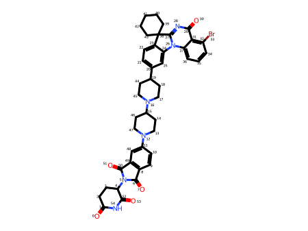 O=C1CCC(N2C(=O)c3ccc(N4CCC(N5CCC(c6ccc7c(c6)-n6c(nc(=O)c8c(Br)cccc86)C76CCCCC6)CC5)CC4)cc3C2=O)C(=O)N1